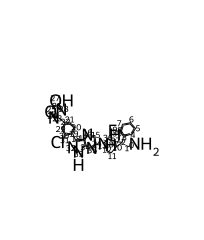 NC[C@]1(c2ccccc2F)[C@@H]2CCN(c3cnc4c(-c5ccc(-c6noc(O)n6)cc5Cl)n[nH]c4n3)C[C@@H]21